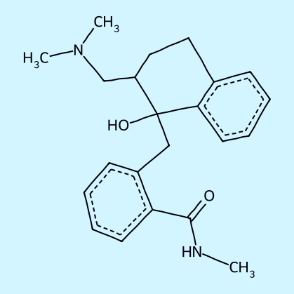 CNC(=O)c1ccccc1CC1(O)c2ccccc2CCC1CN(C)C